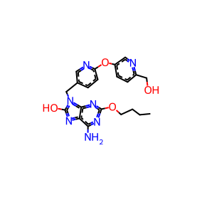 CCCCOc1nc(N)c2nc(O)n(Cc3ccc(Oc4ccc(CO)nc4)nc3)c2n1